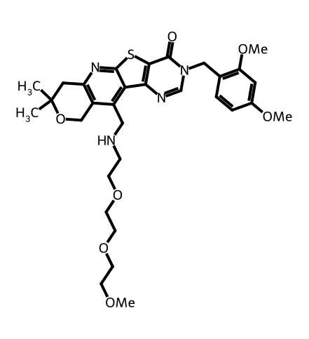 COCCOCCOCCNCc1c2c(nc3sc4c(=O)n(Cc5ccc(OC)cc5OC)cnc4c13)CC(C)(C)OC2